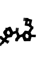 Cc1ccc(C(=O)Nc2cncc(C(F)(F)F)c2)cc1OC1CNC1